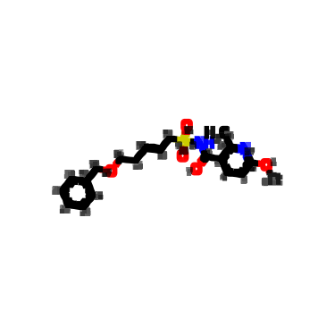 CCOc1ccc(C(=O)NS(=O)(=O)CC=CCCOCc2ccccc2)c(C)n1